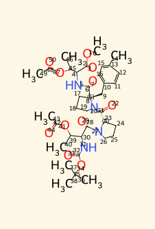 COC(=O)C(NC(=O)[C@@]1(Cc2ccc(C)cc2)CCCN1C(=O)[C@@H]1CCCN1C(=O)C(NC(=O)OC(C)(C)C)C(C)OC(C)=O)C(C)OC(C)=O